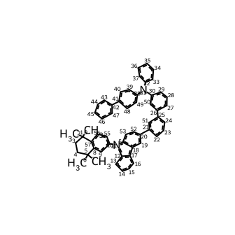 CC1(C)CCC(C)(C)c2cc(-n3c4ccccc4c4cc(-c5cccc(-c6cccc(N(c7ccccc7)c7ccc(-c8ccccc8)cc7)c6)c5)ccc43)ccc21